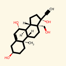 C#C[C@]1(O)CC[C@H]2[C@@H]3[C@@H](O)C=C4C[C@H](O)CC[C@]4(C)[C@H]3CC[C@@]21CO